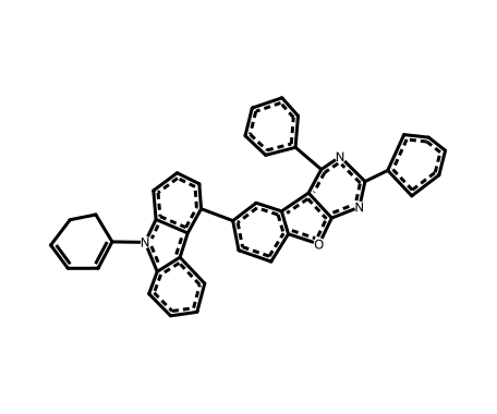 C1=CCCC(n2c3ccccc3c3c(-c4ccc5oc6nc(-c7ccccc7)nc(-c7ccccc7)c6c5c4)cccc32)=C1